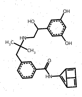 CC(C)(Cc1cccc(C(=O)NC2=C3C=C4C=C2C43)c1)NCC(O)c1cc(O)cc(O)c1